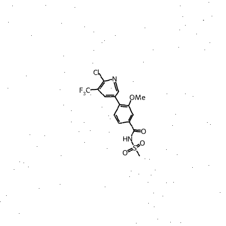 COc1cc(C(=O)NS(C)(=O)=O)ccc1-c1cnc(Cl)c(C(F)(F)F)c1